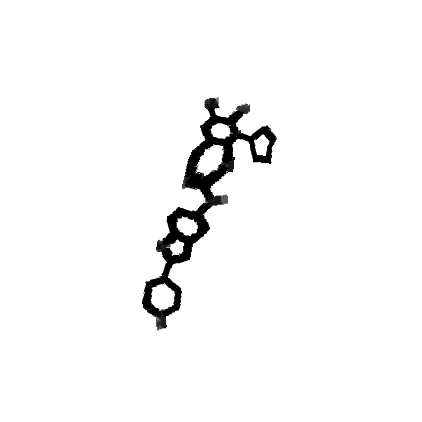 N#Cc1cc2cnc(Nc3ccc4oc(C5CCNCC5)cc4c3)nc2n(C2CCCC2)c1=O